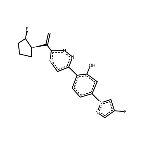 C=C(c1ncc(-c2ccc(-n3cc(F)cn3)cc2O)nn1)[C@H]1CCC[C@H]1F